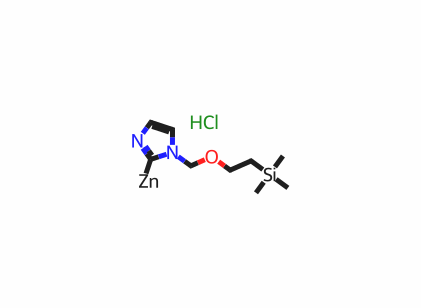 C[Si](C)(C)CCOCn1ccn[c]1[Zn].Cl